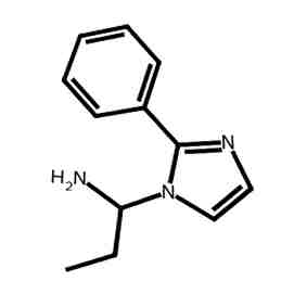 CCC(N)n1ccnc1-c1ccccc1